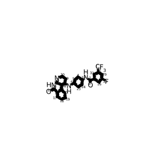 O=C(Nc1ccc(Nc2ccnc3[nH]c(=O)c4ccccc4c23)cc1)c1cc(F)cc(C(F)(F)F)c1